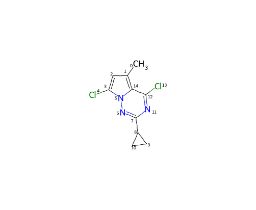 Cc1cc(Cl)n2nc(C3CC3)nc(Cl)c12